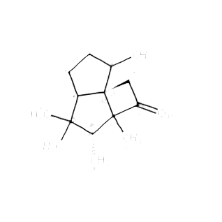 CC1CCC2C(C)(C)[C@@H](C)C3(C)C(=O)C[C@]123